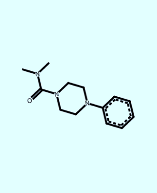 CN(C)C(=O)N1CCN(c2ccccc2)CC1